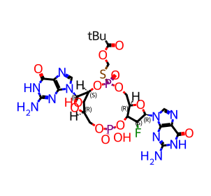 CC(C)(C)C(=O)OCSP1(=O)OC[C@H]2O[C@@H](n3cnc4c(=O)[nH]c(N)nc43)[C@@H](F)C2OP(=O)(O)OC[C@H]2O[C@@H](n3cnc4c(=O)[nH]c(N)nc43)[C@@H](O1)C2O